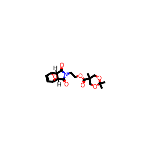 CC1(C)OCC(C)(C(=O)OCCN2C(=O)[C@@H]3C4C=CC(O4)[C@@H]3C2=O)CO1